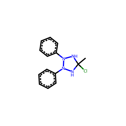 CC1(Cl)NN(c2ccccc2)N(c2ccccc2)N1